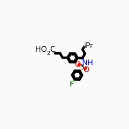 CC(C)CCC(NS(=O)(=O)c1ccc(F)cc1)c1ccc(CCCC(=O)O)cc1